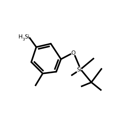 Cc1cc([SiH3])cc(O[Si](C)(C)C(C)(C)C)c1